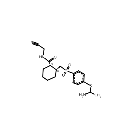 CC(N)Sc1ccc(S(=O)(=O)C[C@H]2CCCC[C@@H]2C(=O)NCC#N)cc1